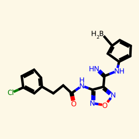 Bc1cccc(NC(=N)c2nonc2NC(=O)CCc2cccc(Cl)c2)c1